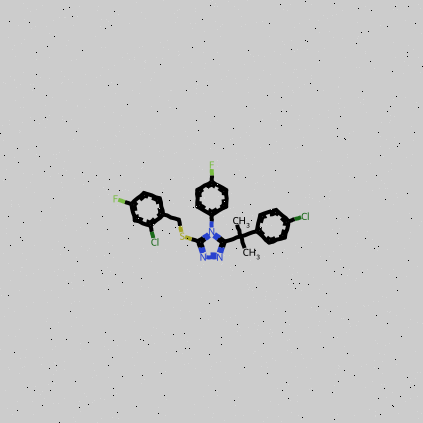 CC(C)(c1ccc(Cl)cc1)c1nnc(SCc2ccc(F)cc2Cl)n1-c1ccc(F)cc1